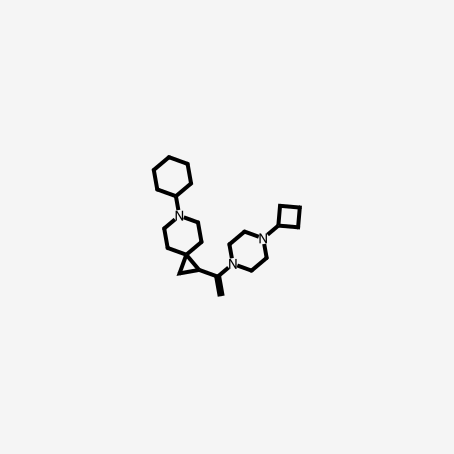 C=C(C1CC12CCN(C1CCCCC1)CC2)N1CCN(C2CCC2)CC1